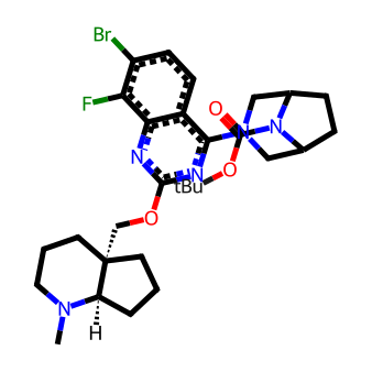 CN1CCC[C@@]2(COc3nc(N4CC5CCC(C4)N5C(=O)OC(C)(C)C)c4ccc(Br)c(F)c4n3)CCC[C@@H]12